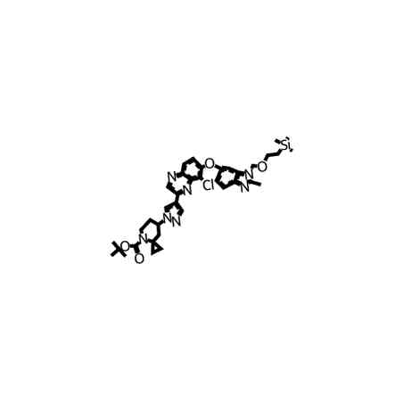 Cc1nc2ccc(Oc3ccc4ncc(-c5cnn(C6CCN(C(=O)OC(C)(C)C)C7(CC7)C6)c5)nc4c3Cl)cc2n1COCC[Si](C)(C)C